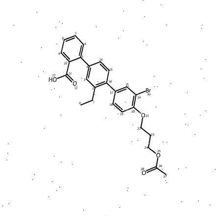 CCc1cc(-c2ccccc2C(=O)O)ccc1-c1ccc(OCCCOC(C)=O)c(Br)c1